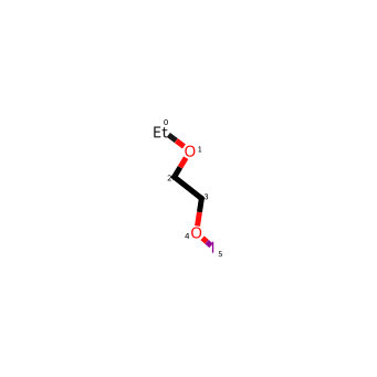 CCOCCOI